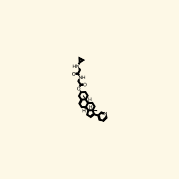 C[C@]12CC[C@H](OC(=O)CNC(=O)CNC3CC3)CC1=CC[C@@H]1[C@@H]2CC[C@]2(C)C(c3cccnc3)=CC[C@@H]12